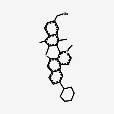 Cc1c2c(c(C)c3cc(CC(C)(C)C)ccc13)-c1c3c(cc4ccc(C5CCCCC5)cc4c3cc[n+]1C)O2